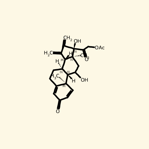 C=C1C(=C)[C@](O)(C(=O)COC(C)=O)[C@@]2(C)CC(O)[C@H]3[C@@H](CCC4=CC(=O)C=C[C@@]43C)[C@H]12